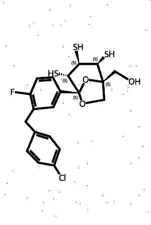 OC[C@@]12CO[C@@](c3ccc(F)c(Cc4ccc(Cl)cc4)c3)(O1)[C@H](S)[C@@H](S)[C@H]2S